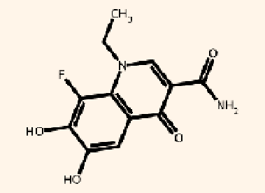 CCn1cc(C(N)=O)c(=O)c2cc(O)c(O)c(F)c21